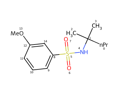 CCCC(C)(C)NS(=O)(=O)c1cccc(OC)c1